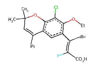 CCOc1c(C(=C(F)C(=O)O)C(C)CC)cc2c(c1Cl)OC(C)(C)C=C2C(C)C